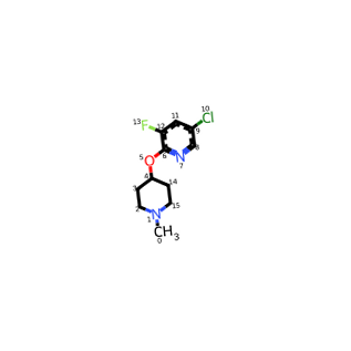 CN1CCC(Oc2ncc(Cl)cc2F)CC1